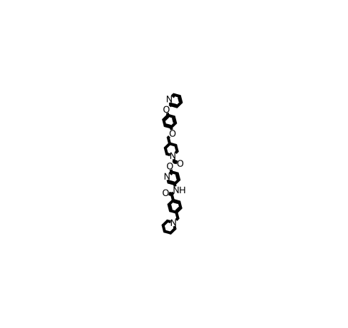 O=C(Nc1ccc(OC(=O)N2CCC(COc3ccc(Oc4ccccn4)cc3)CC2)nc1)c1ccc(CN2CCCCC2)cc1